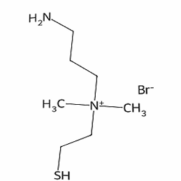 C[N+](C)(CCS)CCCN.[Br-]